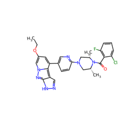 CCOc1cc(-c2ccc(N3C[C@@H](C)N(C(=O)c4c(F)cccc4Cl)[C@@H](C)C3)nc2)c2c3cn[nH]c3nn2c1